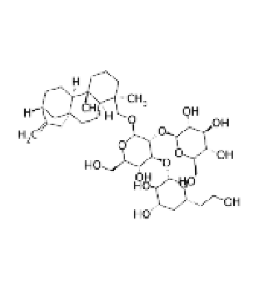 C=C1C[C@@]23CC[C@@H]4[C@](C)(CO[C@@H]5O[C@H](CO)[C@@H](O)[C@H](O[C@@H]6O[C@H](CCO)C[C@H](O)[C@H]6O)[C@H]5O[C@@H]5O[C@H](CO)[C@@H](O)[C@H](O)[C@H]5O)CCC[C@@]4(C)[C@@H]2CC[C@@H]1C3